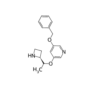 CC(Oc1cncc(OCc2ccccc2)c1)[C@@H]1CCN1